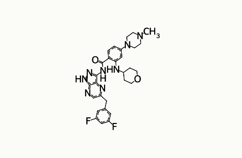 CN1CCN(c2ccc(C(=O)Nc3n[nH]c4ncc(Cc5cc(F)cc(F)c5)nc34)c(NC3CCOCC3)c2)CC1